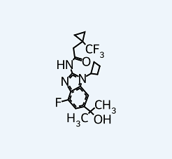 CC(C)(O)c1cc(F)c2nc(NC(=O)CC3(C(F)(F)F)CC3)n(C3CCC3)c2c1